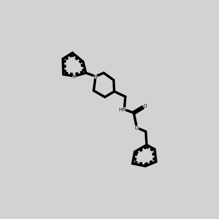 O=C(NCC1CCN(c2ccccn2)CC1)OCc1ccccc1